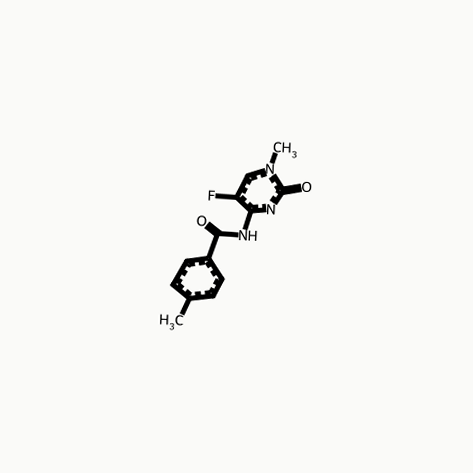 Cc1ccc(C(=O)Nc2nc(=O)n(C)cc2F)cc1